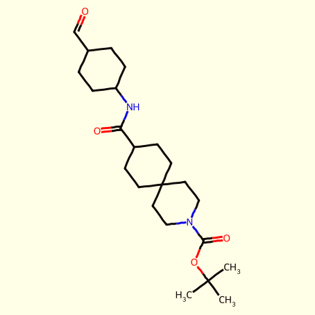 CC(C)(C)OC(=O)N1CCC2(CCC(C(=O)NC3CCC(C=O)CC3)CC2)CC1